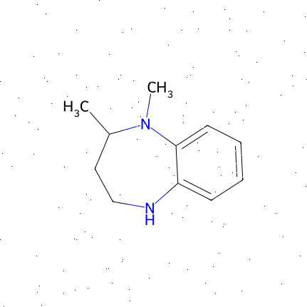 CC1CCNc2ccccc2N1C